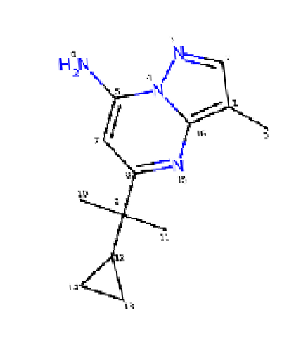 Cc1cnn2c(N)cc(C(C)(C)C3CC3)nc12